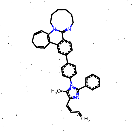 C=C/C=C\c1nc(-c2ccccc2)n(-c2ccc(-c3ccc4c(c3)C3=C(C=CCC=C3)N3CCCCCC/N=C/43)cc2)c1C